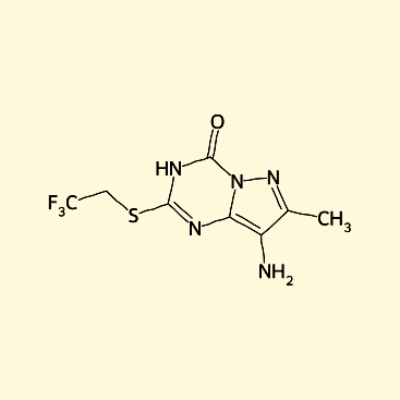 Cc1nn2c(=O)[nH]c(SCC(F)(F)F)nc2c1N